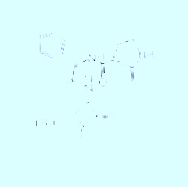 CC(C)(C)S[C@@H]1[C@H](NC(=O)[C@H](NC(=O)N2CCNC2=O)c2ccccc2)C(=O)N1CC(=O)O